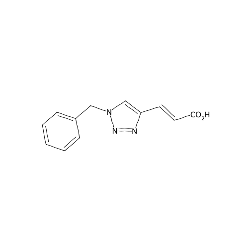 O=C(O)C=Cc1cn(Cc2ccccc2)nn1